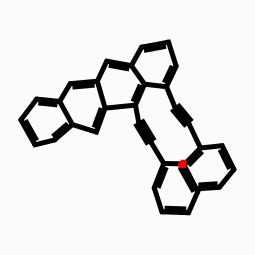 C(#Cc1cccc2cc3cc4ccccc4cc3c(C#Cc3ccccc3)c12)c1ccccc1